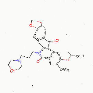 COc1cc2c(=O)n(CCCN3CCOCC3)c3c(c2cc1OC(C)C(=O)O)C(=O)c1cc2c(cc1-3)OCO2